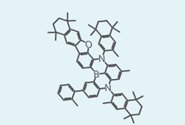 Cc1cc2c3c(c1)N(c1cc4c(cc1C)C(C)(C)CCC4(C)C)c1c(ccc4c1oc1cc5c(cc14)C(C)(C)CCC5(C)C)B3c1cc(-c3ccccc3C)ccc1N2c1cc2c(cc1C)C(C)(C)CCC2(C)C